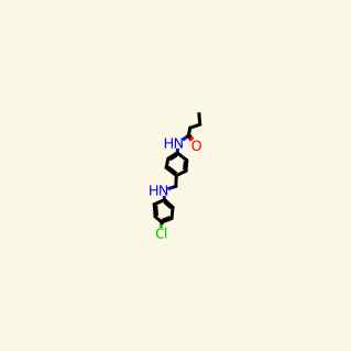 CCCC(=O)Nc1ccc(CNc2ccc(Cl)cc2)cc1